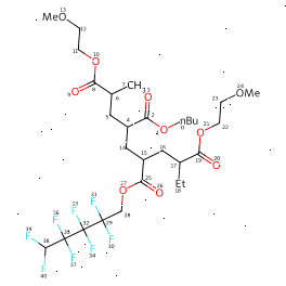 CCCCOC(=O)C(CC(C)C(=O)OCCOC)CC(CC(CC)C(=O)OCCOC)C(=O)OCC(F)(F)C(F)(F)C(F)(F)C(F)F